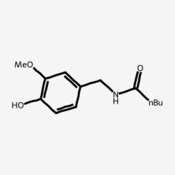 CCCCC(=O)NCc1ccc(O)c(OC)c1